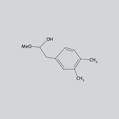 COC(O)Cc1ccc(C)c(C)c1